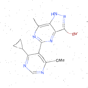 COc1ncnc(C2CC2)c1-c1nc(C)c2[nH]nc(Br)c2n1